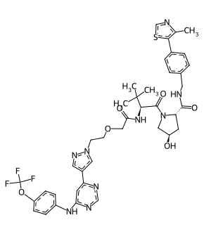 Cc1ncsc1-c1ccc(CNC(=O)[C@@H]2C[C@@H](O)CN2C(=O)[C@@H](NC(=O)COCCn2cc(-c3cc(Nc4ccc(OC(F)(F)F)cc4)ncn3)cn2)C(C)(C)C)cc1